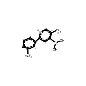 OB(O)c1cc(-c2cccc(C(F)(F)F)c2)ncc1C(F)(F)F